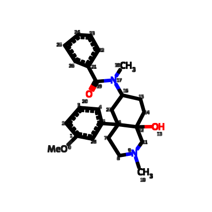 COc1cccc(C23CCN(C)CC2(O)CCC(N(C)C(=O)c2ccccc2)C3)c1